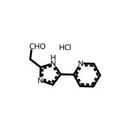 Cl.O=CCc1ncc(-c2ccccn2)[nH]1